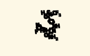 CN(CC(F)(F)F)C(=O)c1ccc(Nc2cc(NCc3cncc(F)c3)c(C(N)=O)cn2)cc1